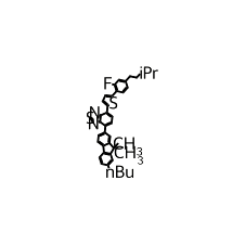 CCCCc1ccc2c(c1)C(C)(C)c1cc(-c3ccc(-c4ccc(-c5ccc(CCC(C)C)cc5F)s4)c4nsnc34)ccc1-2